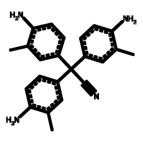 Cc1cc(C(C#N)(c2ccc(N)c(C)c2)c2ccc(N)c(C)c2)ccc1N